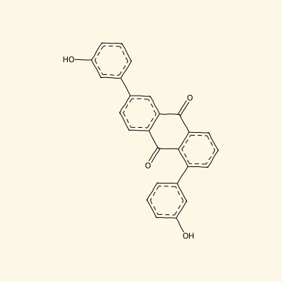 O=C1c2cc(-c3cccc(O)c3)ccc2C(=O)c2c1cccc2-c1cccc(O)c1